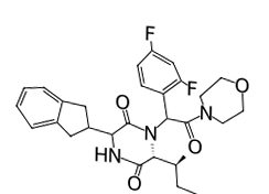 CC[C@H](C)[C@@H]1C(=O)NC(C2Cc3ccccc3C2)C(=O)N1C(C(=O)N1CCOCC1)c1ccc(F)cc1F